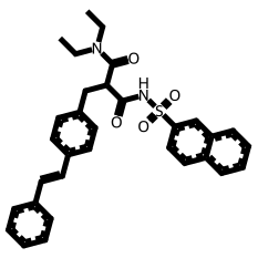 CCN(CC)C(=O)C(Cc1ccc(C=Cc2ccccc2)cc1)C(=O)NS(=O)(=O)c1ccc2ccccc2c1